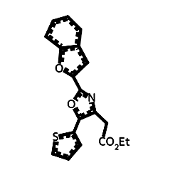 CCOC(=O)Cc1nc(-c2cc3ccccc3o2)oc1-c1cccs1